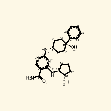 NC(=O)c1cnc(N[C@H]2CC[C@](O)(c3ccccc3)CC2)nc1N[C@H]1CCC[C@@H]1O